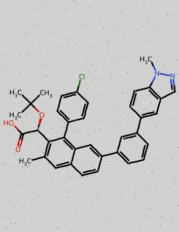 Cc1cc2ccc(-c3cccc(-c4ccc5c(cnn5C)c4)c3)cc2c(-c2ccc(Cl)cc2)c1[C@H](OC(C)(C)C)C(=O)O